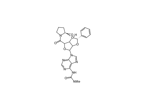 CNC(=O)Nc1ncnc2c1ncn2C1OC(C(=O)N2CCC[C@H]2C(=O)O)C2O[C@H](c3ccccc3)OC21